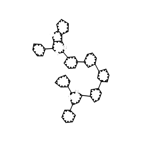 c1ccc(-c2cc(-c3cccc(-c4cccc(-c5cccc(-c6cccc(-c7nc(-c8ccccc8)c8oc9ccccc9c8n7)c6)c5)c4)c3)nc(-c3ccccc3)n2)cc1